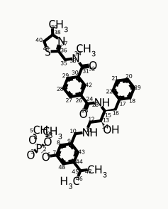 COP(=O)(OC)Oc1cc(CNC[C@@H](O)[C@H](Cc2ccccc2)NC(=O)c2cccc(C(=O)N(C)CC3=NC(C)CS3)c2)cc(C(C)C)c1